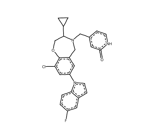 O=c1cc(CN2Cc3cc(-n4ccc5cc(F)ccc54)cc(Cl)c3OCC2C2CC2)cc[nH]1